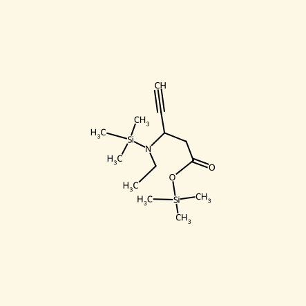 C#CC(CC(=O)O[Si](C)(C)C)N(CC)[Si](C)(C)C